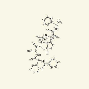 CCC12CC[C@H]3CN(C(=O)[C@@H](NC(=O)[C@@H](NC(=O)c4cnccn4)C4CCCCC4)C(C)(C)C)[C@H](C(=O)NC1C(=O)C(=O)N[C@@H](C)c1ccccc1)[C@H]32